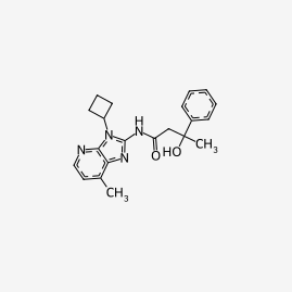 Cc1ccnc2c1nc(NC(=O)CC(C)(O)c1ccccc1)n2C1CCC1